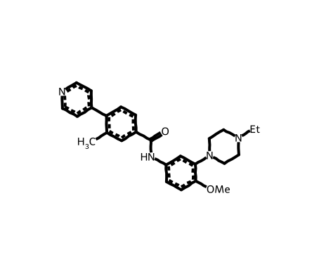 CCN1CCN(c2cc(NC(=O)c3ccc(-c4ccncc4)c(C)c3)ccc2OC)CC1